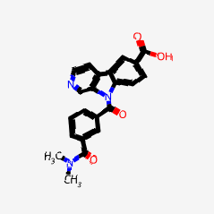 CN(C)C(=O)c1cccc(C(=O)n2c3ccc(C(=O)O)cc3c3ccncc32)c1